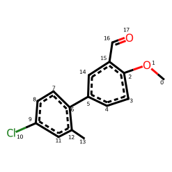 COc1ccc(-c2ccc(Cl)cc2C)cc1C=O